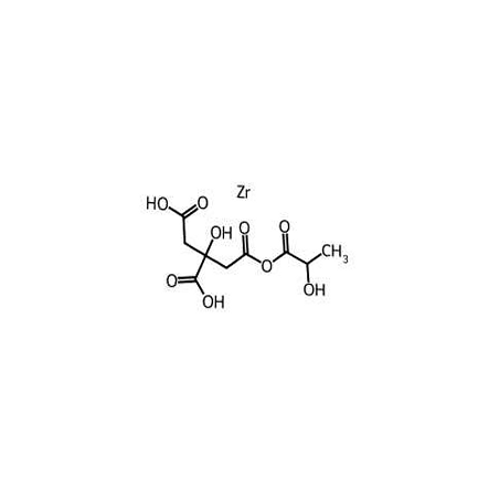 CC(O)C(=O)OC(=O)CC(O)(CC(=O)O)C(=O)O.[Zr]